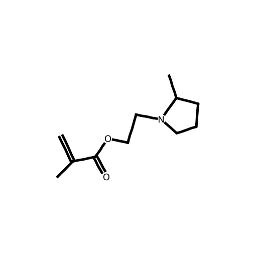 C=C(C)C(=O)OCCN1CCCC1C